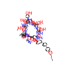 CCCCCOc1ccc(-c2ccc(-c3ccc(C(=O)N[C@H]4C[C@@H](O)[C@@H](OC[C@@H](C)[N+](C)(C)C)NC(=O)[C@@H]5[C@@H](O)[C@@H](C)CN5C(=O)[C@H]([C@@H](C)O)NC(=O)[C@H]([C@H](O)[C@@H](O)c5ccc(O)cc5)NC(=O)[C@@H]5C[C@@H](O)CN5C(=O)[C@H]([C@@H](C)O)NC4=O)cc3)cc2)cc1